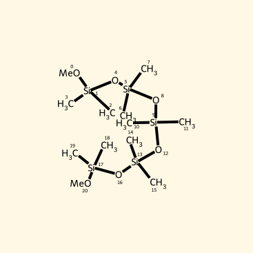 CO[Si](C)(C)O[Si](C)(C)O[Si](C)(C)O[Si](C)(C)O[Si](C)(C)OC